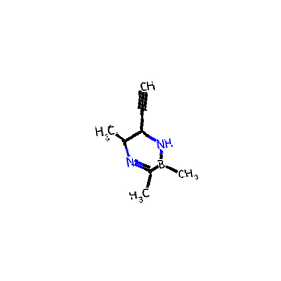 C#CC1NB(C)C(C)=NC1C